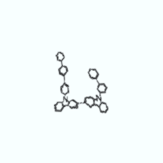 c1ccc(-c2ccc(-c3ccc(-n4c5ccccc5c5ccc(-c6ccc7c(c6)c6ccccc6n7-c6cccc(-c7ccccc7)c6)cc54)cc3)cc2)cc1